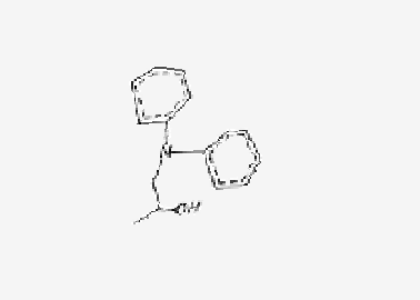 CC(O)CN(c1ccccc1)c1ccccc1